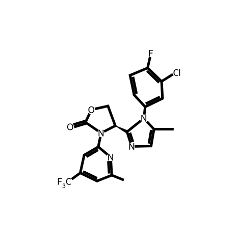 Cc1cc(C(F)(F)F)cc(N2C(=O)OC[C@H]2c2ncc(C)n2-c2ccc(F)c(Cl)c2)n1